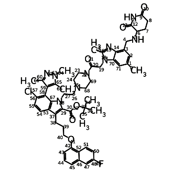 Cc1cc(CNC2CCC(=O)NC2=O)c2nc(C)n(CC(=O)N3CCN(CCn4c(C(=O)OC(C)(C)C)c(CCCOc5cccc6cc(F)ccc56)c5ccc(Cl)c(-c6c(C)nn(C)c6C)c54)CC3)c2c1